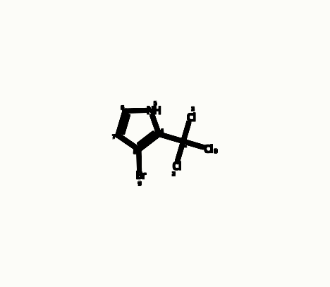 ClC(Cl)(Cl)c1[nH]ccc1Br